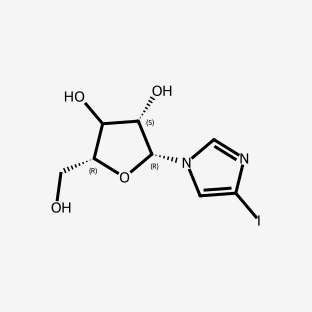 OC[C@H]1O[C@@H](n2cnc(I)c2)[C@@H](O)C1O